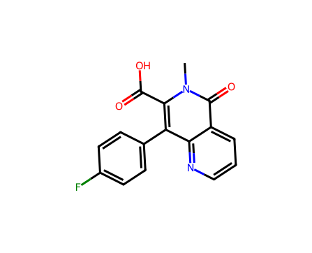 Cn1c(C(=O)O)c(-c2ccc(F)cc2)c2ncccc2c1=O